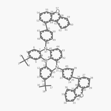 CC(C)(C)c1ccc2c(c1)B1c3ccc(C(C)(C)C)cc3N(c3ccc(-c4cccc5oc6ccccc6c45)cc3)c3cccc(c31)N2c1ccc(-c2cccc3oc4ccccc4c23)cc1